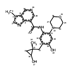 Cn1nnc2c(C(=O)Nc3cc(C[C@@]4(C)CC4O)c(O)cc3N3CCOCC3)cncc21